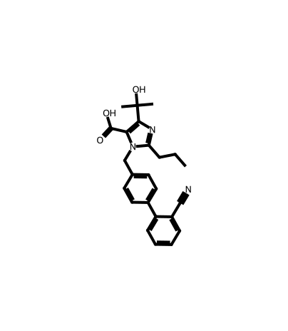 CCCc1nc(C(C)(C)O)c(C(=O)O)n1Cc1ccc(-c2ccccc2C#N)cc1